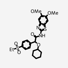 CCS(=O)(=O)c1ccc(C(OC2CCCCC2)C(=O)Nc2nc3cc(OC)c(OC)cc3s2)cc1